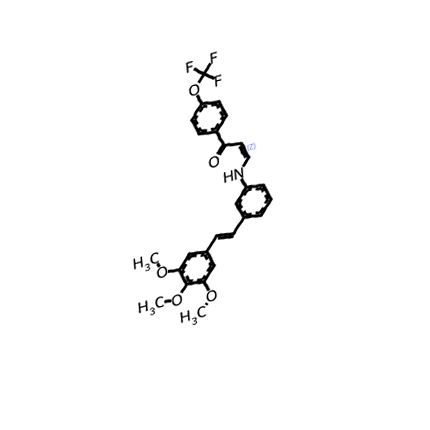 COc1cc(C=Cc2cccc(N/C=C\C(=O)c3ccc(OC(F)(F)F)cc3)c2)cc(OC)c1OC